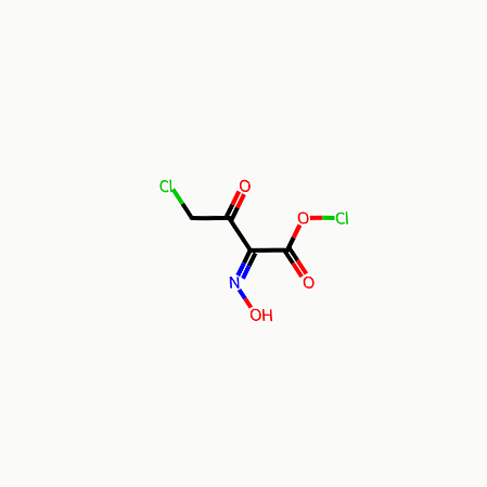 O=C(CCl)C(=NO)C(=O)OCl